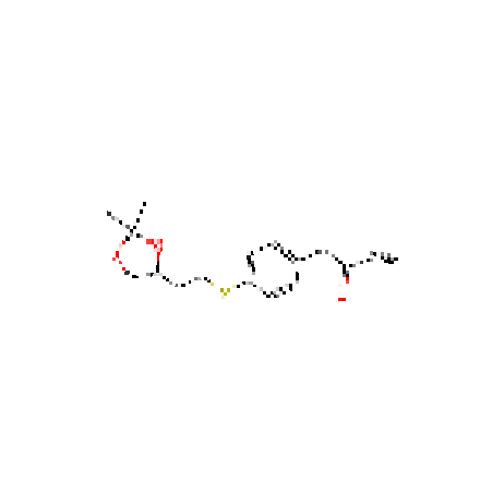 COC(=O)Cc1ccc(SCCC2COC(C)(C)O2)cc1